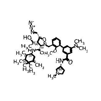 COc1c(CN2O[C@@H](CN=[N+]=[N-])[C@@H]([C@H](C)O)[C@H]2C(=O)N[C@H]2C[C@@H](C)C(C)(C)[C@@H](C)[C@@H]2C)cccc1-c1cc(C(=O)N[C@@H]2CCN(C)C2)cc(N(C)C)c1